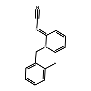 N#CN=c1ccccn1Cc1ccccc1F